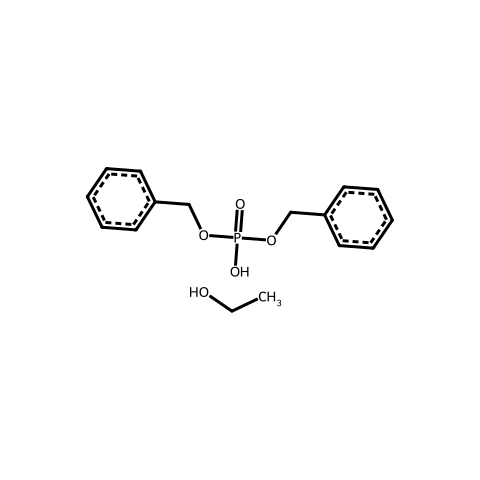 CCO.O=P(O)(OCc1ccccc1)OCc1ccccc1